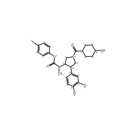 CN(C(=O)Oc1ccc(F)cc1)C1CN(C(=O)C2CCC(O)CC2)CC1c1ccc(Cl)c(Cl)c1